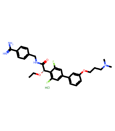 CCO[C@H](C(=O)NCc1ccc(C(=N)N)cc1)c1c(F)cc(-c2cccc(OCCCN(C)C)c2)cc1F.Cl